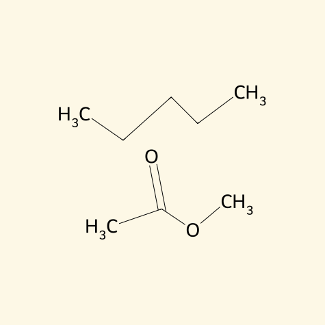 CCCCC.COC(C)=O